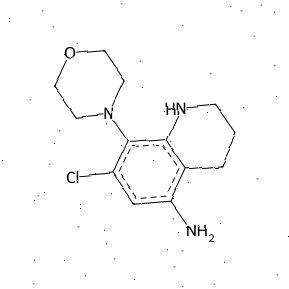 Nc1cc(Cl)c(N2CCOCC2)c2c1CCCN2